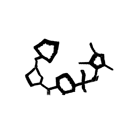 Cc1nn(C)c(C)c1NS(=O)(=O)c1ccc(NC2CCN(Cc3ccccc3)C2)nc1